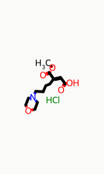 COC(=O)/C(=C/C(=O)O)CCCCN1CCOCC1.Cl